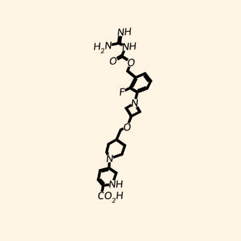 N=C(N)NC(=O)OCc1cccc(N2CC(OCC3CCN(C4=CC=C(C(=O)O)NC4)CC3)C2)c1F